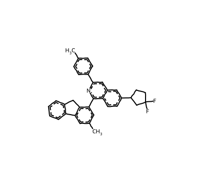 Cc1ccc(-c2cc3cc(C4CCC(F)(F)C4)ccc3c(-c3cc(C)cc4c3Cc3ccccc3-4)n2)cc1